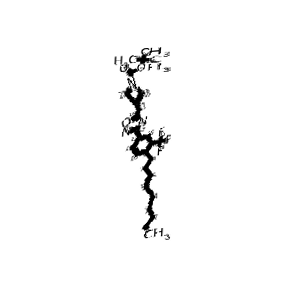 CCCCCCCCCc1ccc(-c2noc(C3CN(C(=O)OC(C)(C)C)C3)n2)cc1C(F)(F)F